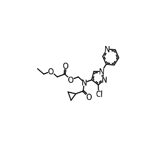 CCOCC(=O)OCN(C(=O)C1CC1)c1cn(-c2cccnc2)nc1Cl